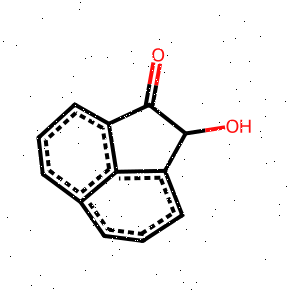 O=C1c2cccc3cccc(c23)C1O